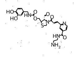 C[C@@]1(COC(=O)NCc2ccc(O)c(O)c2)SCN(C(=O)/C=C/c2cc(C(=O)NCCN)ccn2)[C@H]1C=O